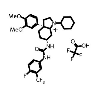 COc1ccc([C@@]23CC[C@@H](NC(=O)Nc4ccc(F)c(C(F)(F)F)c4)C[C@@H]2N(C2CCCCC2)CC3)cc1OC.O=C(O)C(F)(F)F